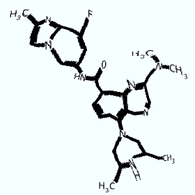 Cc1cn2cc(NC(=O)c3ccc(N4CC(C)NC(C)C4)c4ncc(N(C)C)nc34)cc(F)c2n1